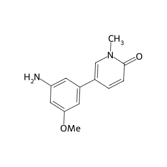 COc1cc(N)cc(-c2ccc(=O)n(C)c2)c1